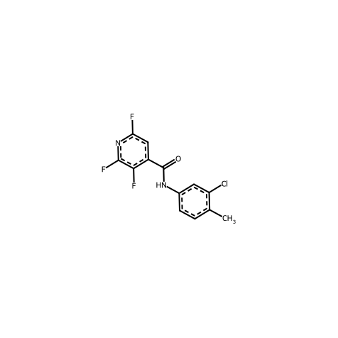 Cc1ccc(NC(=O)c2cc(F)nc(F)c2F)cc1Cl